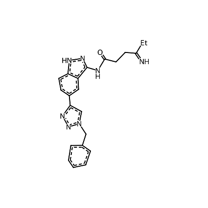 CCC(=N)CCC(=O)Nc1n[nH]c2ccc(-c3cn(Cc4ccccc4)nn3)cc12